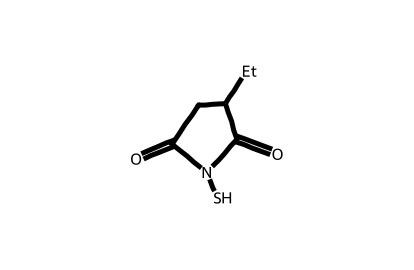 CCC1CC(=O)N(S)C1=O